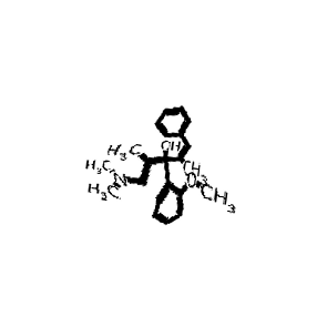 COc1ccccc1C(O)(/C(C)=C\c1ccccc1)C(C)CN(C)C